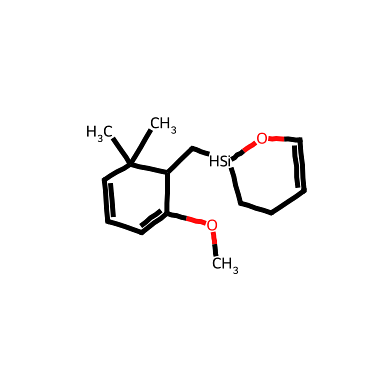 COC1=CC=CC(C)(C)C1C[SiH]1CCC=CO1